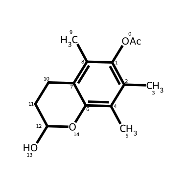 CC(=O)Oc1c(C)c(C)c2c(c1C)CCC(O)O2